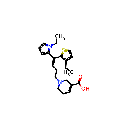 CCc1ccsc1C(=CCCN1CCC=C(C(=O)O)C1)c1cccn1CC